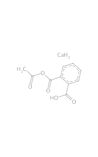 CC(=O)OC(=O)c1ccccc1C(=O)O.[CaH2]